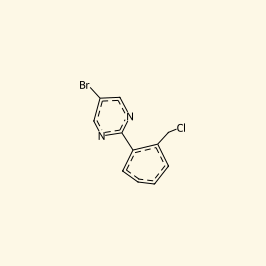 ClCc1ccccc1-c1ncc(Br)cn1